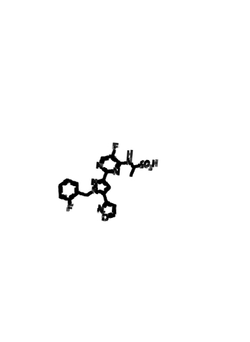 CC(Nc1nc(-c2cc(-c3ccon3)n(Cc3ccccc3F)n2)ncc1F)S(=O)(=O)O